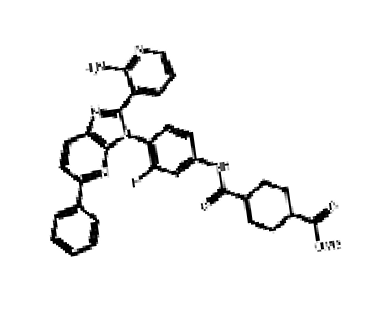 COC(=O)C1CCC(C(=O)Nc2ccc(-n3c(-c4cccnc4N)nc4ccc(-c5ccccc5)nc43)c(F)c2)CC1